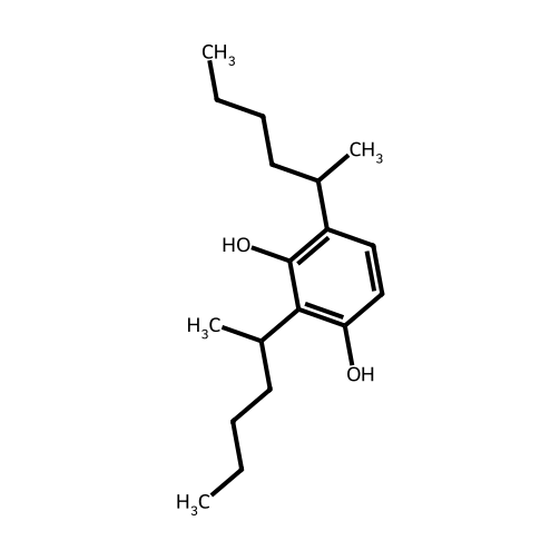 CCCCC(C)c1ccc(O)c(C(C)CCCC)c1O